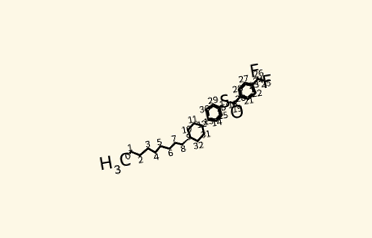 CCCCCCCCC[C@H]1CC[C@H](c2ccc(SC(=O)c3ccc(C(F)F)cc3)cc2)CC1